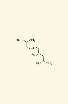 NC(O)Cc1ccc(C[C@H](N)C(=O)O)cc1